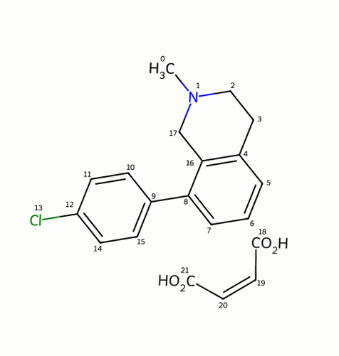 CN1CCc2cccc(-c3ccc(Cl)cc3)c2C1.O=C(O)/C=C\C(=O)O